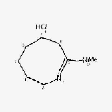 CNC1=NCCCCCC1.Cl